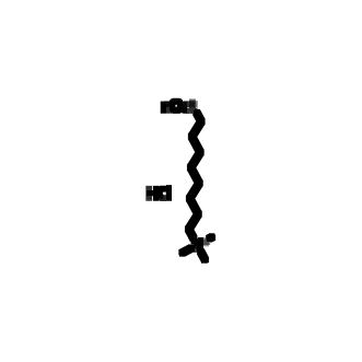 CCCCCCCCCCCCCCCC[N+](C)(C)C.Cl